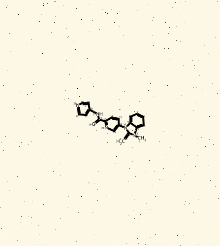 C=C1N(C)c2ccccc2N1c1ccc(C(=O)Nc2ccncc2)nc1